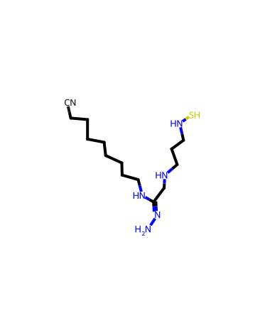 N#CCCCCCCCCN/C(CNCCCNS)=N\N